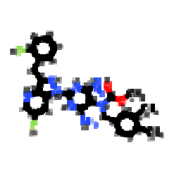 COC(=O)N(Cc1ccc(C)c(C)c1)c1c(N)nc(-n2nc(Cc3ccccc3F)c3ncc(F)cc32)nc1N